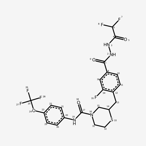 O=C(NNC(=O)C(F)F)c1ccc(CC2CN(C(=O)Nc3ccc(OC(F)(F)F)cc3)CCS2)c(F)c1